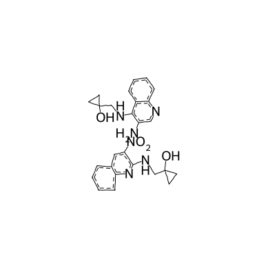 Nc1cnc2ccccc2c1NCC1(O)CC1.O=[N+]([O-])c1cc2ccccc2nc1NCC1(O)CC1